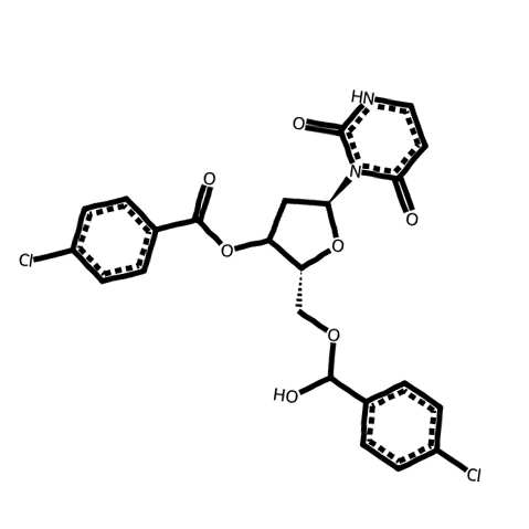 O=C(OC1C[C@@H](n2c(=O)cc[nH]c2=O)O[C@@H]1COC(O)c1ccc(Cl)cc1)c1ccc(Cl)cc1